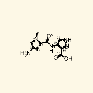 Cn1cc(N)nc1C(=O)Nc1c[nH]nc1C(=O)O